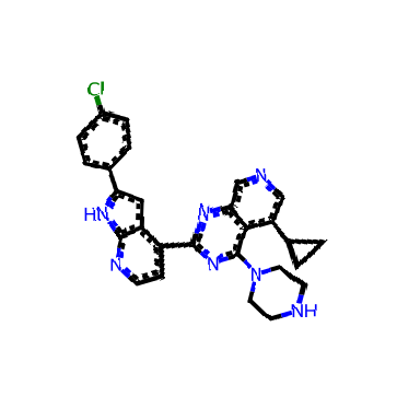 Clc1ccc(-c2cc3c(-c4nc(N5CCNCC5)c5c(C6CC6)cncc5n4)ccnc3[nH]2)cc1